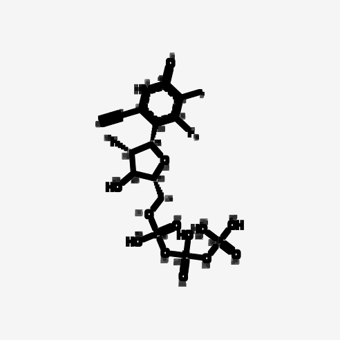 C#Cc1[nH]c(=O)c(C)c(F)c1[C@@H]1O[C@H](COP(=O)(O)OP(=O)(O)OP(=O)(O)O)C(O)[C@@H]1F